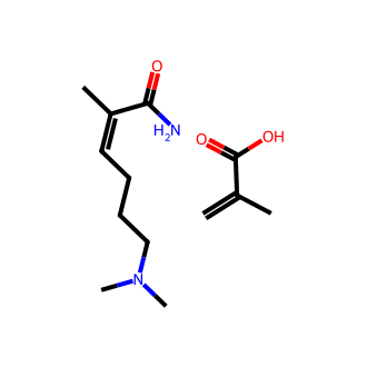 C=C(C)C(=O)O.CC(=CCCCN(C)C)C(N)=O